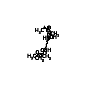 C=C(C)C(=O)OCC(C)OC(=O)NCCCCCCN[C@H](O)OC(C)COC(=O)C1CC1C